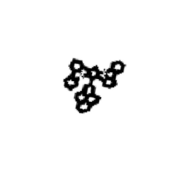 c1cc2ccc3cc(-c4c5c6cccc7c8ccccc8n(c5cc5c8cccc9c%10ccccc%10n(c45)c98)c76)cc4ccc(c1)c2c34